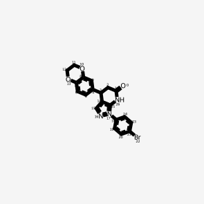 O=C1CC(c2ccc3c(c2)OCCO3)c2cnn(-c3ccc(Br)cc3)c2N1